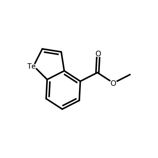 COC(=O)c1cccc2[te]ccc12